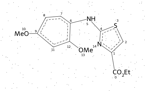 CCOC(=O)c1csc(Nc2ccc(OC)cc2OC)n1